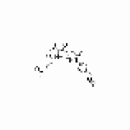 CNOCc1ccc(NC(=O)[C@@H](C)NC(=O)C(NC(=O)CCCC(C)=O)C(C)C)cc1